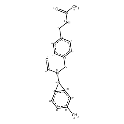 CC(=O)NCc1ccc(CN(N=O)N2c3ccc(C)cc32)cc1